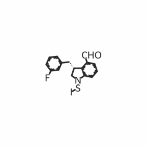 O=Cc1cccc2c1[C@@H](Cc1cccc(F)c1)CN2SI